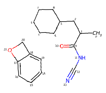 CC(CC1CCCCC1)C(=O)NC#N.c1ccc2c(c1)CO2